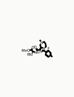 COC(=O)[C@@H](NC(=O)c1nc(-c2ccc(C)cc2F)n2c1CN(C)CCC2)C(C)(C)C